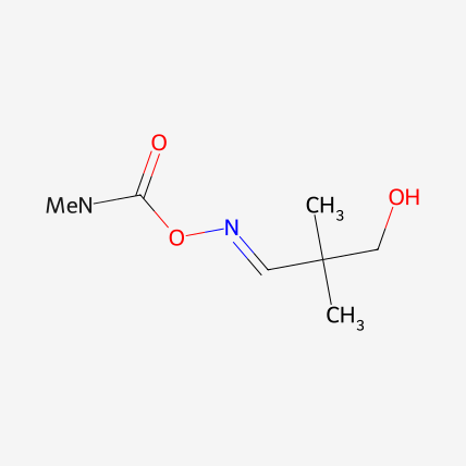 CNC(=O)O/N=C/C(C)(C)CO